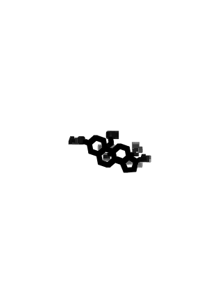 CC(=O)OC1CC[C@@]2(CO)C(CCC3=C4CC[C@H](C(C)=O)[C@@]4(C)CC[C@@H]32)C1